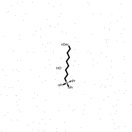 CCCCCCCCCCCCCCCCCC[N+](CCC)(CCC)CCC.[OH-]